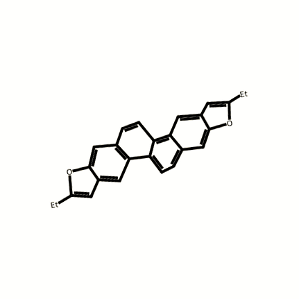 CCc1cc2cc3c(ccc4c5cc6cc(CC)oc6cc5ccc34)cc2o1